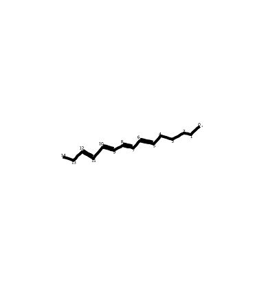 [CH2]CCCCC=CC=CC=CC=CCC